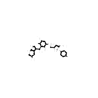 CSc1cc(C(=O)Nc2cc(Br)c(F)c(C(=O)c3c[nH]c4ncc(Cl)cc34)c2F)nn1-c1ccc(F)cc1